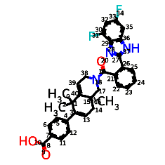 CC1(C)C(c2ccc(C(=O)O)cc2)=CC[C@]2(C)CN(C(=O)c3ccccc3-c3nc4c(F)cc(F)cc4[nH]3)CC=C12